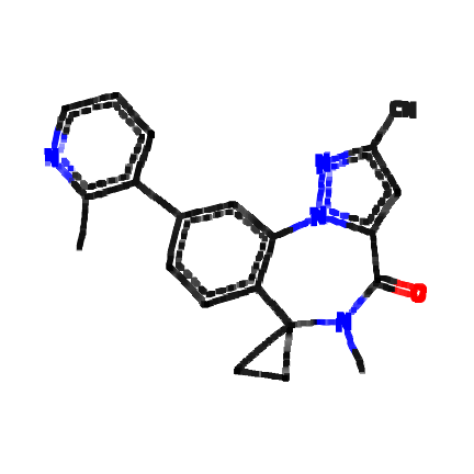 Cc1ncccc1-c1ccc2c(c1)-n1nc(C#N)cc1C(=O)N(C)C21CC1